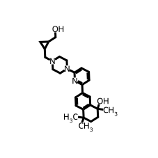 CC1(C)CCC(C)(O)c2cc(-c3cccc(N4CCN(CC5CC5CO)CC4)n3)ccc21